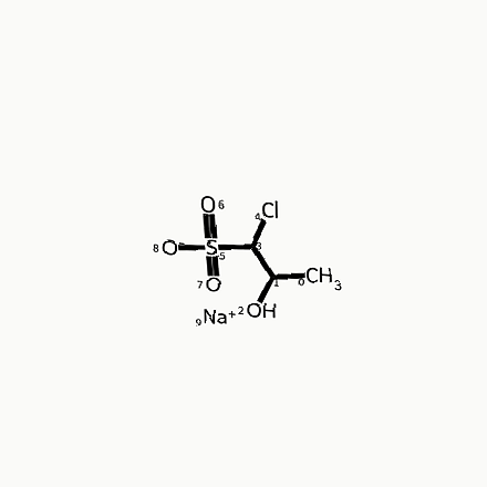 CC(O)C(Cl)S(=O)(=O)[O-].[Na+]